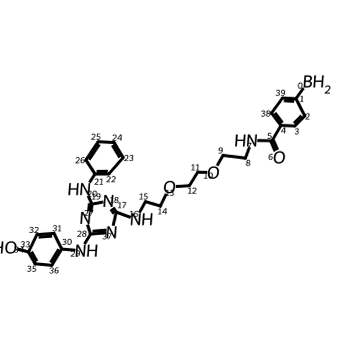 Bc1ccc(C(=O)NCCOCCOCCNc2nc(Nc3ccccc3)nc(Nc3ccc(O)cc3)n2)cc1